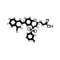 Cc1cccc(S(=O)(=O)N2C[C@H](CCC(=O)O)Oc3ccc(/C=C/c4ccccc4C(C)C)cc32)c1